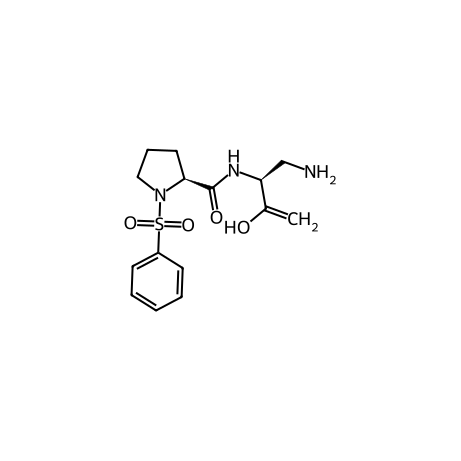 C=C(O)[C@H](CN)NC(=O)[C@@H]1CCCN1S(=O)(=O)c1ccccc1